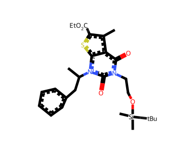 CCOC(=O)c1sc2c(c1C)c(=O)n(CCO[Si](C)(C)C(C)(C)C)c(=O)n2C(C)Cc1ccccc1